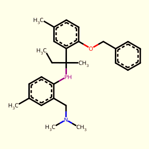 CCC(C)(Pc1ccc(C)cc1CN(C)C)c1cc(C)ccc1OCc1ccccc1